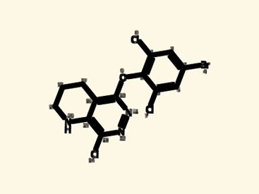 Clc1cc(Br)cc(Cl)c1Oc1nnc(Cl)c2c1CCCN2